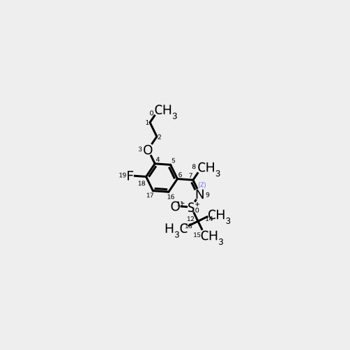 CCCOc1cc(/C(C)=N\[S+]([O-])C(C)(C)C)ccc1F